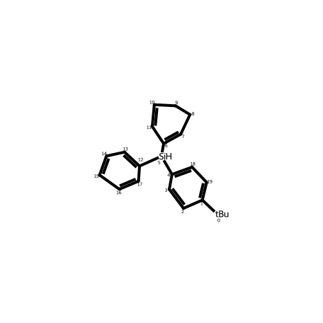 CC(C)(C)c1ccc([SiH](C2=CCCC=C2)c2ccccc2)cc1